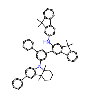 CC1(C)c2ccccc2-c2ccc(Nc3cc4c(cc3-c3cc(-c5ccccc5)cc(N5c6ccc(-c7ccccc7)cc6C6(C)CCCCC56C)c3)-c3ccccc3C4(C)C)cc21